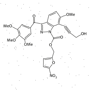 COc1cc(C(=O)c2nn(C(=O)OCc3ccc([N+](=O)[O-])o3)c3c(C#CCO)c(OC)ccc23)cc(OC)c1OC